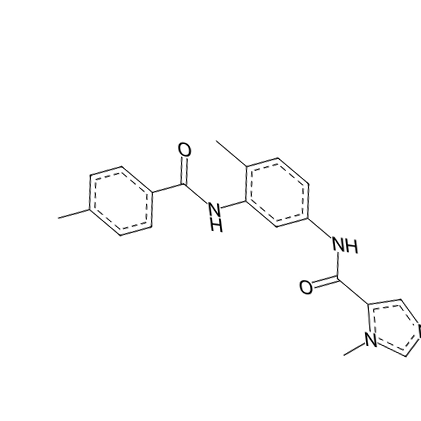 Cc1ccc(C(=O)Nc2cc(NC(=O)c3cncn3C)ccc2C)cc1